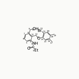 CCC(=O)Nc1cccc(CO)c1COc1cc(C)c(C)cc1Br